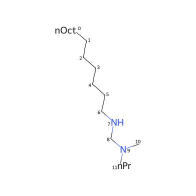 CCCCCCCCCCCCCCNCN(C)CCC